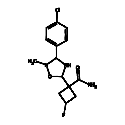 CN1OC(C2(C(N)=O)CC(F)C2)NC1c1ccc(Cl)cc1